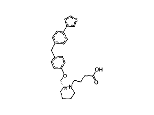 O=C(O)CCCN1CCCC[C@@H]1COc1ccc(Cc2ccc(-c3ccsc3)cc2)cc1